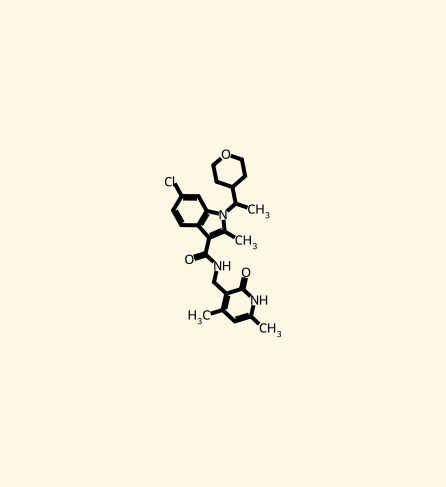 Cc1cc(C)c(CNC(=O)c2c(C)n(C(C)C3CCOCC3)c3cc(Cl)ccc23)c(=O)[nH]1